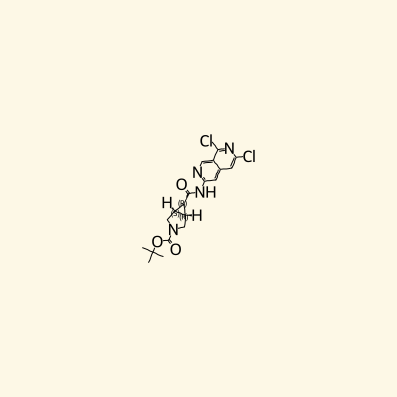 CC(C)(C)OC(=O)N1C[C@@H]2[C@H](C1)[C@H]2C(=O)Nc1cc2cc(Cl)nc(Cl)c2cn1